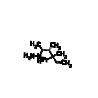 C=CC(C)(C(C)C)[C@@H](C)C(C)NN